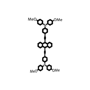 COc1ccc(N(c2ccc(C#Cc3c4ccccc4c(C#Cc4ccc(N(c5ccc(OC)cc5)c5ccc(OC)cc5)cc4)c4ccccc34)cc2)c2ccc(OC)cc2)cc1